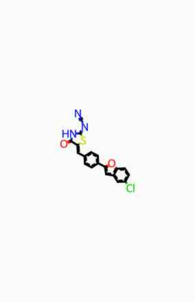 N#C/N=C1\NC(=O)/C(=C/c2ccc(-c3cc4cc(Cl)ccc4o3)cc2)S1